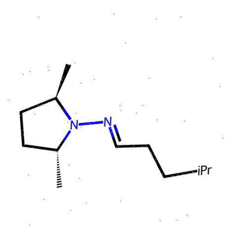 CC(C)CCC=NN1[C@H](C)CC[C@H]1C